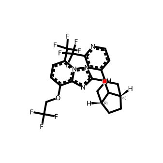 FC(F)(F)COc1ccc(C(F)(F)F)n2nc(NC3[C@@H]4CC[C@H]3CN(c3ccnc(C(F)(F)F)c3)C4)nc12